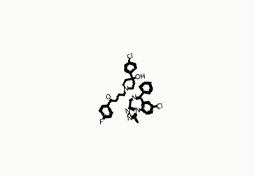 Cc1nnc2n1-c1ccc(Cl)cc1C(c1ccccc1)=NC2.O=C(CCCN1CCC(O)(c2ccc(Cl)cc2)CC1)c1ccc(F)cc1